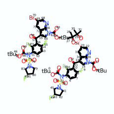 CC(C)(C)OC(=O)N(c1ccc(F)c(C(=O)c2cn(C(=O)OC(C)(C)C)c3ncc(B4OC(C)(C)C(C)(C)O4)cc23)c1F)S(=O)(=O)N1CC[C@@H](F)C1.CC(C)(C)OC(=O)N(c1ccc(F)c(C(=O)c2cn(C(=O)OC(C)(C)C)c3ncc(Br)cc23)c1F)S(=O)(=O)N1CC[C@@H](F)C1